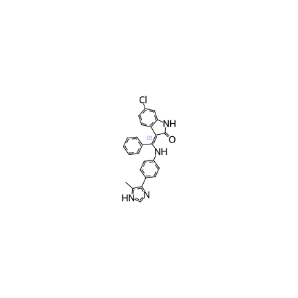 Cc1[nH]cnc1-c1ccc(N/C(=C2\C(=O)Nc3cc(Cl)ccc32)c2ccccc2)cc1